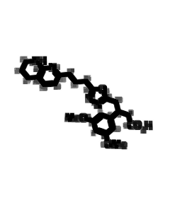 COc1cc(OC)cc(C(CC(=O)O)Cc2nnc(CCCc3ccc4c(n3)NCCC4)o2)c1